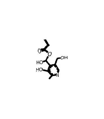 CCC(=O)OC(O)c1c(CO)cnc(C)c1O